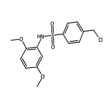 COc1ccc(OC)c(NS(=O)(=O)c2ccc(CCl)cc2)c1